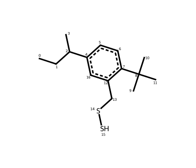 CCC(C)c1ccc(C(C)(C)C)c(CSS)c1